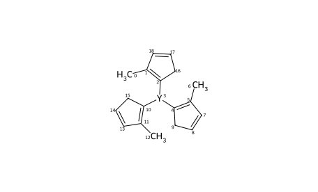 CC1=[C]([Y]([C]2=C(C)C=CC2)[C]2=C(C)C=CC2)CC=C1